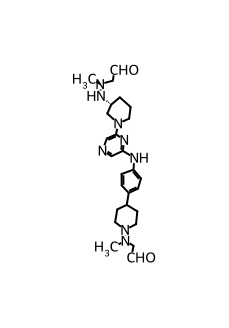 CN(CC=O)N[C@@H]1CCCN(c2cncc(Nc3ccc(C4CCN(N(C)CC=O)CC4)cc3)n2)C1